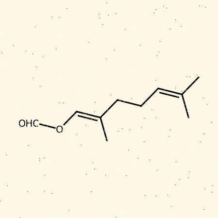 CC(C)=CCC/C(C)=C/OC=O